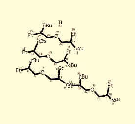 CCCCC(CC)COCC(CC)CCCC.CCCCC(CC)COCC(CC)CCCC.CCCCC(CC)COCC(CC)CCCC.CCCCC(CC)COCC(CC)CCCC.[Ti]